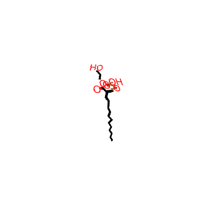 CCCCCCCCCCCCC(=CS(=O)(=O)O)C(=O)OCCCO